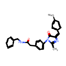 COc1ccc(C=C2N=C(C)N(c3ccc(CC(=O)NCc4ccccc4)cc3)C2=O)cc1